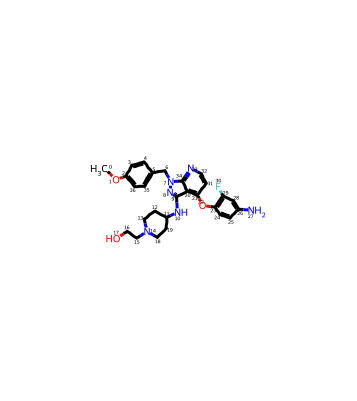 COc1ccc(Cn2nc(NC3CCN(CCO)CC3)c3c(Oc4ccc(N)cc4F)ccnc32)cc1